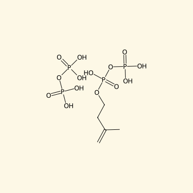 C=C(C)CCOP(=O)(O)OP(=O)(O)O.O=P(O)(O)OP(=O)(O)O